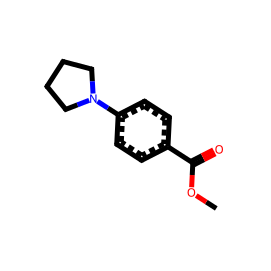 COC(=O)c1ccc(N2CCCC2)cc1